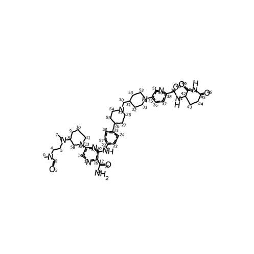 CN(C=O)CCN(C)C1CCCN(c2cnc(C(N)=O)c(Nc3ccc(C4CCN(CC5CCN(c6ccc(C(=O)NC7CCC(=O)NC7=O)nc6)CC5)CC4)cc3)n2)C1